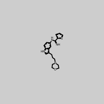 N=C(Nc1ccc2[nH]cc(CCCN3CCOCC3)c2c1)c1cccs1